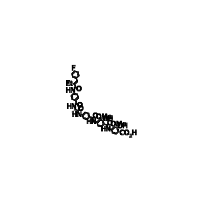 CC/C(=C\c1ccc(F)cc1)C(=O)Nc1ccc(C(=O)N[C@@H](C)C(=O)Nc2ccc(C(=O)Nc3ccc(C(=O)Nc4ccc(C(=O)O)c(O)c4OC)c(O)c3OC)cc2)cc1